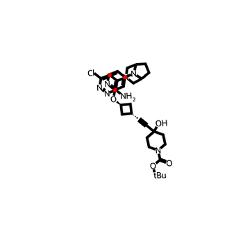 CC(C)(C)OC(=O)N1CCC(O)(C#C[C@H]2C[C@H](Oc3cc(N4C5CCC4CN(c4cc(Cl)nnc4N)C5)ccn3)C2)CC1